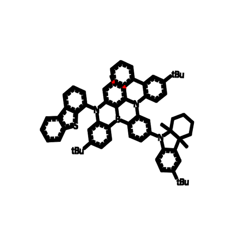 Cc1cc2c3c(c1)N(c1cccc4c1sc1ccccc14)c1cc(C(C)(C)C)ccc1B3c1ccc(N3c4ccc(C(C)(C)C)cc4C4(C)CCCCC34C)cc1N2c1ccc(C(C)(C)C)cc1-c1ccccc1